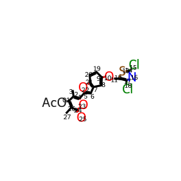 CC(=O)Oc1c(C)c(-c2cc3cc(OCc4sc(Cl)nc4Cl)ccc3o2)oc(=O)c1C